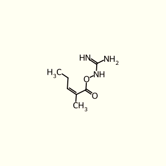 CCC=C(C)C(=O)ONC(=N)N